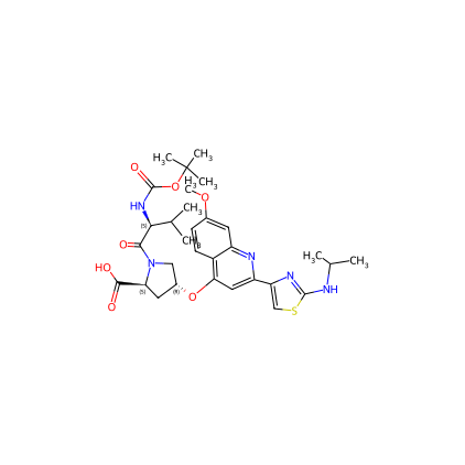 COc1ccc2c(O[C@@H]3C[C@@H](C(=O)O)N(C(=O)[C@@H](NC(=O)OC(C)(C)C)C(C)C)C3)cc(-c3csc(NC(C)C)n3)nc2c1